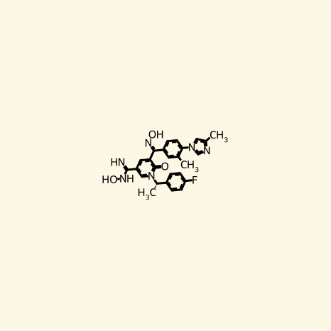 Cc1cn(-c2ccc(/C(=N\O)c3cc(C(=N)NO)cn([C@@H](C)c4ccc(F)cc4)c3=O)cc2C)cn1